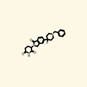 O=C1CCC(N2Cc3cc(C4(F)CCN(Cc5ccccc5)CC4)ccc3C2=O)C(=O)N1